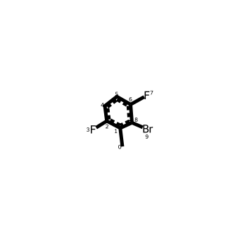 Cc1c(F)ccc(F)c1Br